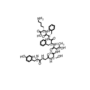 C[C@@H](O)[C@H](NC(=O)[C@H](CO)NC(=O)CNC(=O)[C@@H](N)Cc1ccc(O)cc1)C(=O)N[C@@H](Cc1ccccc1)C(=O)N[C@@H](Cc1ccccc1)C(=O)N[C@@H](CCCCN)C(=O)O